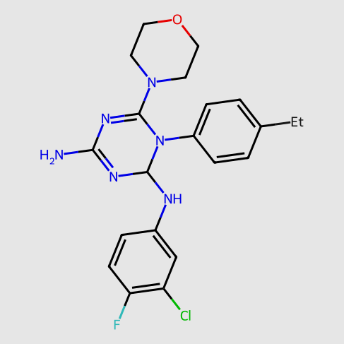 CCc1ccc(N2C(N3CCOCC3)=NC(N)=NC2Nc2ccc(F)c(Cl)c2)cc1